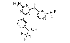 Nc1nc(Nc2ccnc(C(F)(F)F)c2)nc(-c2cccc(C(O)C(F)(F)F)c2)n1